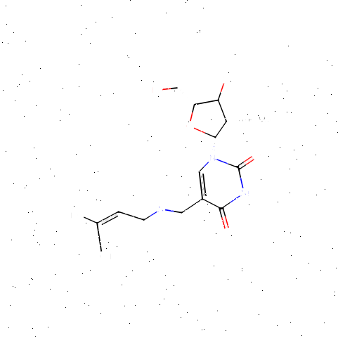 CO[C@H]1C(O)[C@@H](CO)O[C@H]1n1cc(CNCC=C(C)C)c(=O)[nH]c1=O